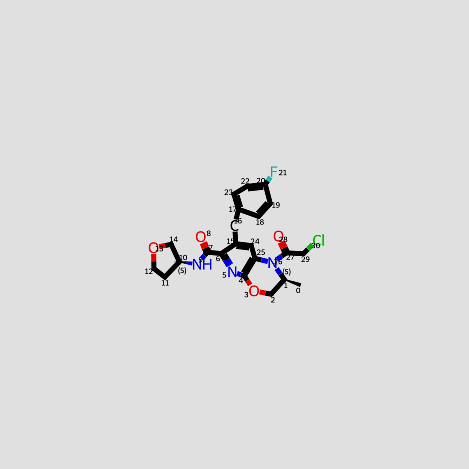 C[C@H]1COc2nc(C(=O)N[C@H]3CCOC3)c(Cc3ccc(F)cc3)cc2N1C(=O)CCl